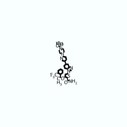 CC(Oc1cc(-n2cnc3cc(-c4ccc(N5CCN(C(=O)OC(C)(C)C)CC5)nc4)ccc32)sc1C(N)=O)c1ccccc1C(F)(F)F